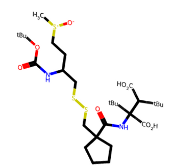 C[S+]([O-])CCC(CSSCC1(C(=O)NC(C(=O)O)(C(C(=O)O)C(C)(C)C)C(C)(C)C)CCCC1)NC(=O)OC(C)(C)C